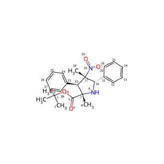 CC(C)(C)OC(=O)[C@@]1(C)N[C@@H](c2ccccc2)[C@@](C)([N+](=O)[O-])[C@@H]1c1ccccc1